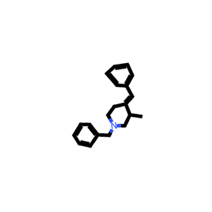 CC1CN(Cc2ccccc2)CCC1=Cc1ccccc1